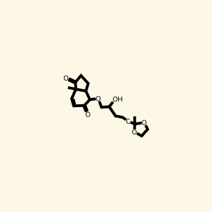 CC1(CCCC(O)COC2C(=O)C=CC3(C)C(=O)CCC23)OCCO1